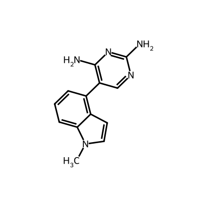 Cn1ccc2c(-c3cnc(N)nc3N)cccc21